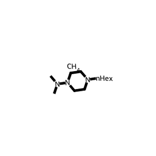 C.CCCCCCN1CCN(N(C)C)CC1